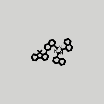 CC1(C)c2ccccc2-c2cccc(-c3ccc4cccc(-c5nc(-c6cccc7ccccc67)nc(-c6cccc7ccccc67)n5)c4c3)c21